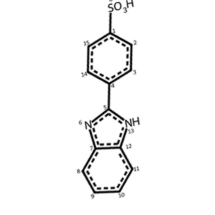 O=S(=O)(O)c1ccc(-c2nc3ccccc3[nH]2)cc1